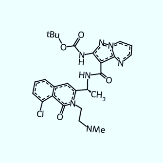 CNCCn1c([C@H](C)NC(=O)c2c(NC(=O)OC(C)(C)C)nn3cccnc23)cc2cccc(Cl)c2c1=O